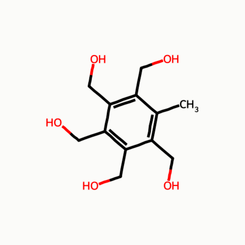 Cc1c(CO)c(CO)c(CO)c(CO)c1CO